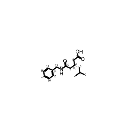 CC(C)C[C@@H](CC(=O)O)CC(=O)NCc1ccccc1